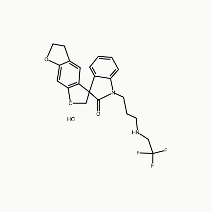 Cl.O=C1N(CCCNCC(F)(F)F)c2ccccc2C12COc1cc3c(cc12)CCO3